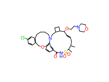 CC1C/C=C/C(OCCN2CCOCC2)C2CCC2CN2CCCCc3cc(Cl)ccc3COc3ccc(cc32)C(=O)NS(=O)(=O)C1C